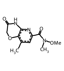 CON(C)C(=O)c1cc(C)c2c(n1)NC(=O)CO2